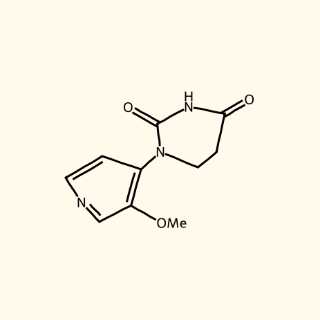 COc1cnccc1N1CCC(=O)NC1=O